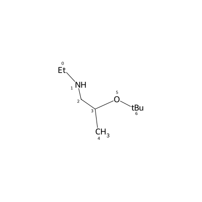 CCNCC(C)OC(C)(C)C